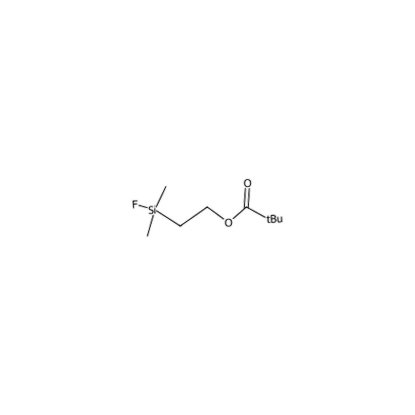 CC(C)(C)C(=O)OCC[Si](C)(C)F